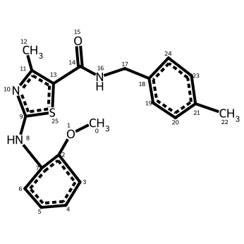 COc1ccccc1Nc1nc(C)c(C(=O)NCc2ccc(C)cc2)s1